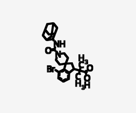 CC(C)(C(=O)O)C1CC2(CCN(C(=O)NC3C4CC5CC(C4)CC3C5)CC2)c2c(Br)cccc21